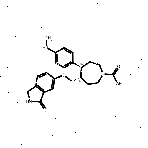 CNc1ccc([C@H]2CCN(C(=O)O)CC[C@@H]2COc2ccc3c(c2)C(=O)NC3)cc1